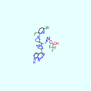 N#CC[C@@H]([C@H]1CCN(c2nc(Br)ccc2F)C1)n1cc(-c2ncnc3[nH]ccc23)cn1.O=C(O)C(F)(F)F